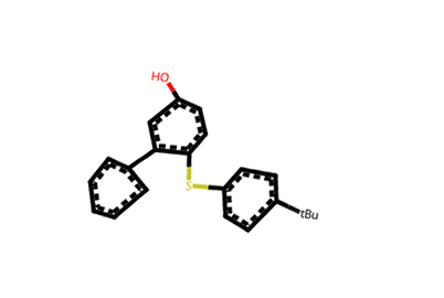 CC(C)(C)c1ccc(Sc2ccc(O)cc2-c2ccccc2)cc1